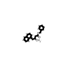 [CH2]C(CC(=O)OCc1ccccc1)Cc1cccc2ccccc12